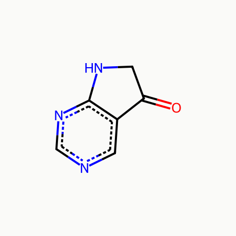 O=C1CNc2ncncc21